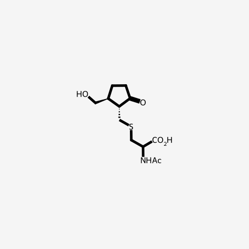 CC(=O)NC(CSC[C@H]1C(=O)CC[C@@H]1CO)C(=O)O